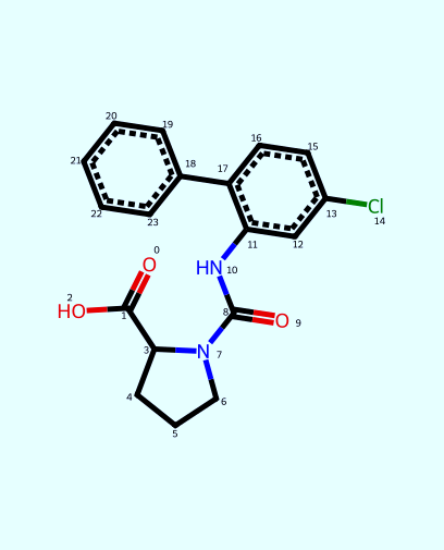 O=C(O)C1CCCN1C(=O)Nc1cc(Cl)ccc1-c1ccccc1